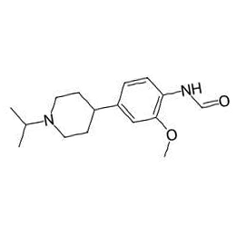 COc1cc(C2CCN(C(C)C)CC2)ccc1NC=O